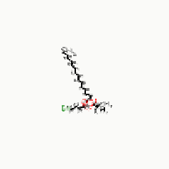 C=C(C)C(OCCCCCCCCCCCCCCCC)OC(=O)CCCBr